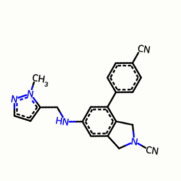 Cn1nccc1CNc1cc2c(c(-c3ccc(C#N)cc3)c1)CN(C#N)C2